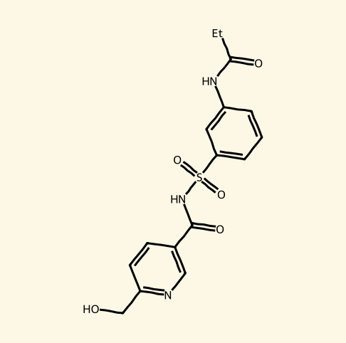 CCC(=O)Nc1cccc(S(=O)(=O)NC(=O)c2ccc(CO)nc2)c1